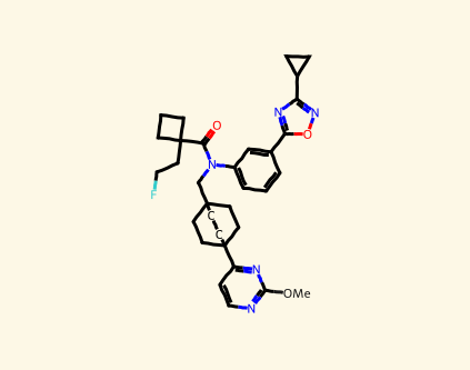 COc1nccc(C23CCC(CN(C(=O)C4(CCF)CCC4)c4cccc(-c5nc(C6CC6)no5)c4)(CC2)CC3)n1